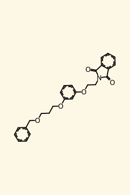 O=C1c2ccccc2C(=O)N1CCOc1cccc(OCCCOCc2ccccc2)c1